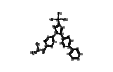 N[S+]([O-])Nc1ccc(-n2nc(C(F)(F)F)cc2-c2ccc(-c3ccccc3)cc2)cc1